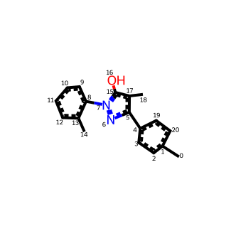 Cc1ccc(-c2nn(-c3ccccc3C)c(O)c2C)cc1